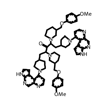 COc1ccc(OCC2CCCN(C(CC3CCN(c4ccnc5cnc6[nH]ccc6c45)CC3)C(=O)C(CC3CCN(c4ccnc5cnc6[nH]ccc6c45)CC3)N3CCCC(COc4ccc(OC)cc4)C3)C2)cc1